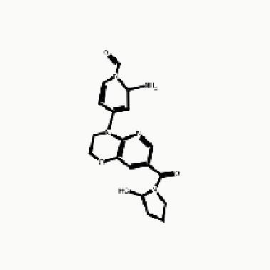 NC1C=C(N2CCOc3cc(C(=O)N4CCCC4O)cnc32)C=CN1C=O